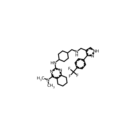 CN(C)c1nc(NC2CCC(CNCc3c[nH]nc3-c3ccc(C(F)(F)F)cc3)CC2)nc2c1CCCC2